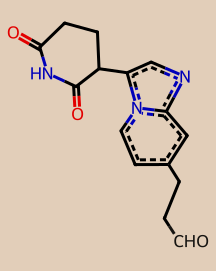 O=CCCc1ccn2c(C3CCC(=O)NC3=O)cnc2c1